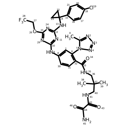 Cc1nnnn1-c1cc(Nc2nc(NC3(c4ccc(Cl)cc4)CC3)nc(OCC(F)(F)F)n2)ccc1C(=O)NCC(C)(C)CNC(=O)C(N)=O